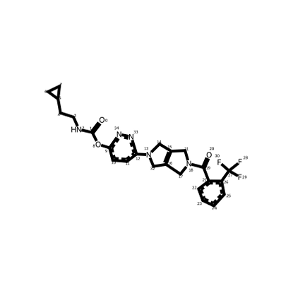 O=C(NCCC1CC1)Oc1ccc(N2CC3=C(CN(C(=O)c4ccccc4C(F)(F)F)C3)C2)nn1